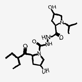 CCC(CC)C(=O)C1CC(O)CN1C(=O)NNC(=O)C1CC(O)CN1C(C)C